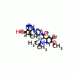 COc1ccc(C(CNC(C)C)C(=O)N2CCN(c3ncnc4c3[C@H](C)C[C@H]4O)CC2)cc1Br